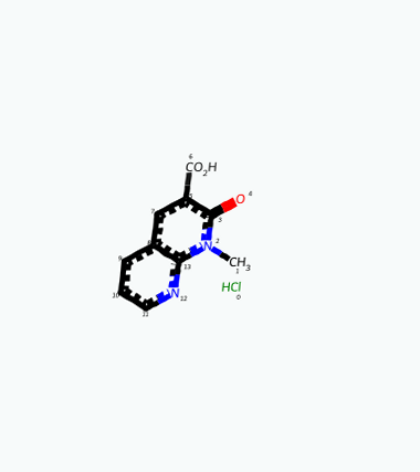 Cl.Cn1c(=O)c(C(=O)O)cc2cccnc21